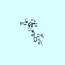 Cc1cccc(N2CCN(C(=O)Cn3nc(C(=O)O)c4c3C(=O)CCC4)CC2)c1C